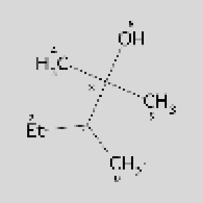 [CH2]C(CC)C(C)(C)O